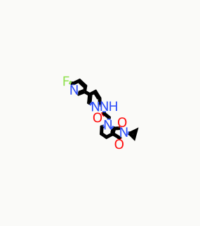 O=C(CN1CCCC2=C1C(=O)N(C1CC1)C2=O)Nc1ccc(-c2ccc(F)nc2)cn1